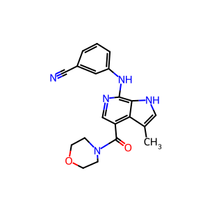 Cc1c[nH]c2c(Nc3cccc(C#N)c3)ncc(C(=O)N3CCOCC3)c12